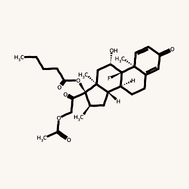 CCCCC(=O)O[C@]1(C(=O)COC(C)=O)[C@H](C)C[C@H]2[C@@H]3CCC4=CC(=O)C=C[C@]4(C)[C@@]3(F)[C@@H](O)C[C@@]21C